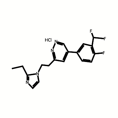 CCc1nccn1CCc1cc(-c2ccc(F)c(C(F)F)c2)cnn1.Cl